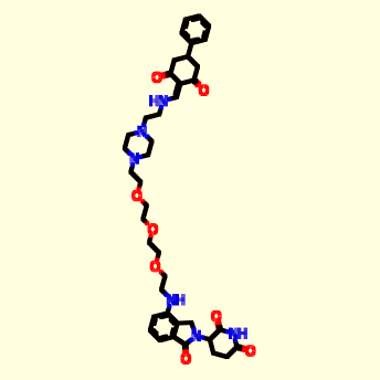 O=C1CCC(N2Cc3c(NCCOCCOCCOCCN4CCN(CCNC=C5C(=O)CC(c6ccccc6)CC5=O)CC4)cccc3C2=O)C(=O)N1